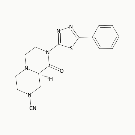 N#CN1CCN2CCN(c3nnc(-c4ccccc4)s3)C(=O)[C@H]2C1